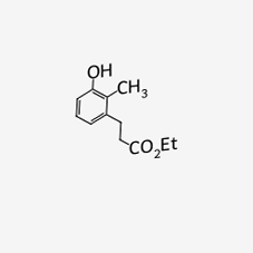 CCOC(=O)CCc1cccc(O)c1C